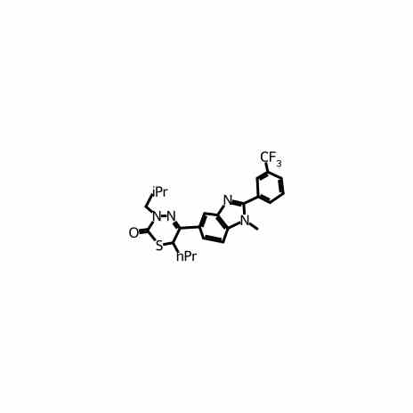 CCCC1SC(=O)N(CC(C)C)N=C1c1ccc2c(c1)nc(-c1cccc(C(F)(F)F)c1)n2C